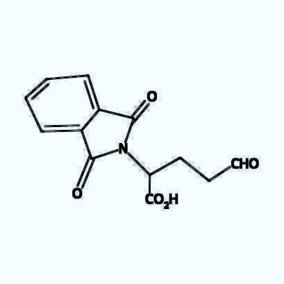 O=CCCC(C(=O)O)N1C(=O)c2ccccc2C1=O